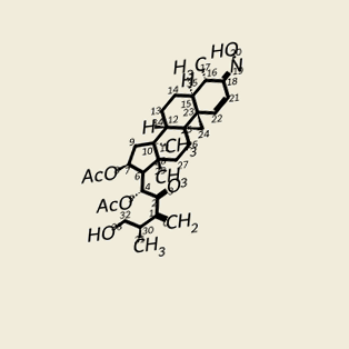 C=C(C(=O)[C@H](OC(C)=O)C1[C@@H](OC(C)=O)C[C@@]2(C)[C@@H]3CC[C@H]4[C@H](C)/C(=N\O)C=C[C@@]45C[C@@]35CC[C@]12C)[C@@H](C)CO